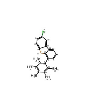 Bc1c(B)c(B)c(-c2cccc3c2sc2ccc(Br)cc23)c(B)c1B